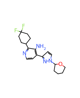 Nc1c(-c2ccn(C3CCCCO3)n2)ccnc1C1CCC(F)(F)CC1